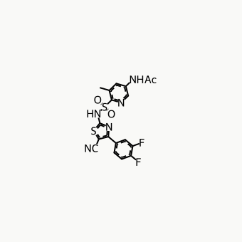 CC(=O)Nc1cnc(S(=O)(=O)Nc2nc(-c3ccc(F)c(F)c3)c(C#N)s2)c(C)c1